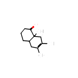 CC1=C(C)CC2(C)C(=O)CCCC2C1